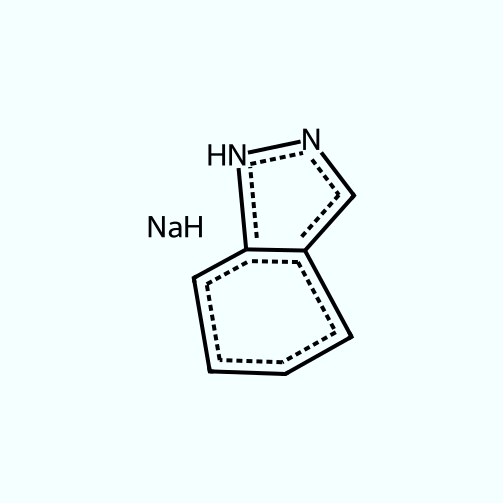 [NaH].c1ccc2[nH]ncc2c1